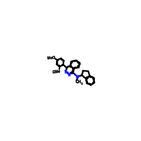 COc1ccc(-c2nnc(N(C)C3CCc4ccccc43)c3ccccc23)c(OC)c1